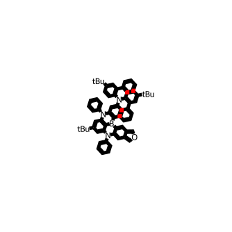 CC(C)(C)c1ccc(N(c2ccc3c(c2)N(c2ccccc2)c2cc(C(C)(C)C)cc4c2B3c2cc3cocc3cc2N4c2ccccc2)c2ccc(C(C)(C)C)cc2-c2ccccc2)c(-c2ccccc2)c1